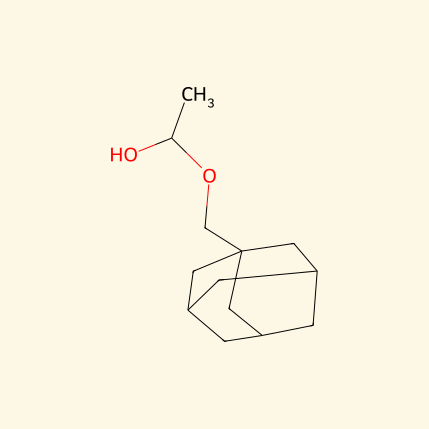 CC(O)OCC12CC3CC(CC(C3)C1)C2